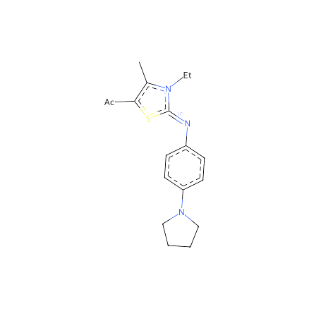 CCn1c(C)c(C(C)=O)s/c1=N\c1ccc(N2CCCC2)cc1